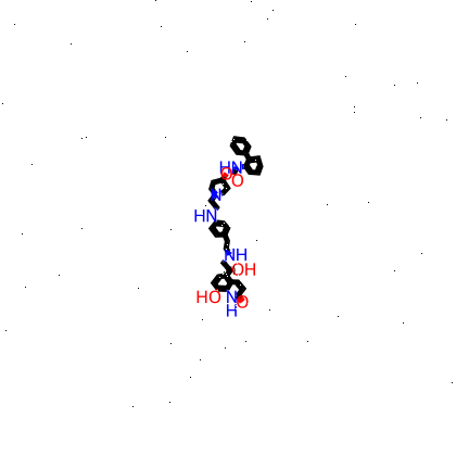 O=C(Nc1ccccc1-c1ccccc1)OC1CCN(CCNc2ccc(CCNC[C@@H](O)c3ccc(O)c4[nH]c(=O)ccc34)cc2)CC1